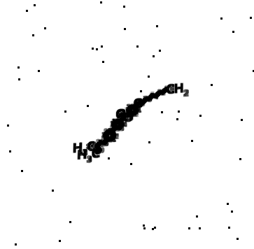 C=CCCCCCCCOc1ccc(OC(=O)c2ccc(-c3ccc(CCC(C)CC)cc3)cc2)cc1